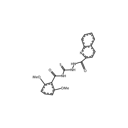 COc1cccc(OC)c1C(=O)NC(=S)NNC(=O)c1ccc2ccccc2n1